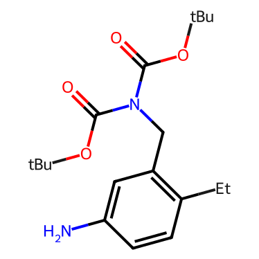 CCc1ccc(N)cc1CN(C(=O)OC(C)(C)C)C(=O)OC(C)(C)C